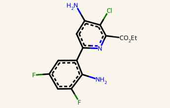 CCOC(=O)c1nc(-c2cc(F)cc(F)c2N)cc(N)c1Cl